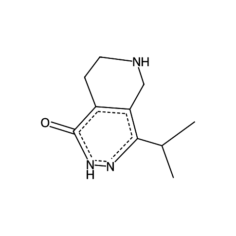 CC(C)c1n[nH]c(=O)c2c1CNCC2